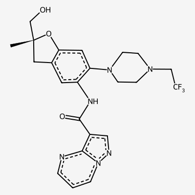 C[C@]1(CO)Cc2cc(NC(=O)c3cnn4cccnc34)c(N3CCN(CC(F)(F)F)CC3)cc2O1